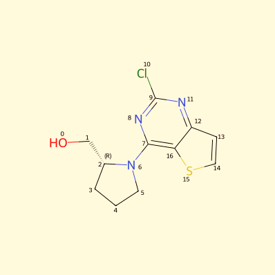 OC[C@H]1CCCN1c1nc(Cl)nc2ccsc12